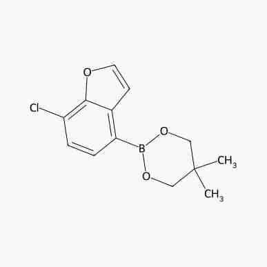 CC1(C)COB(c2ccc(Cl)c3occc23)OC1